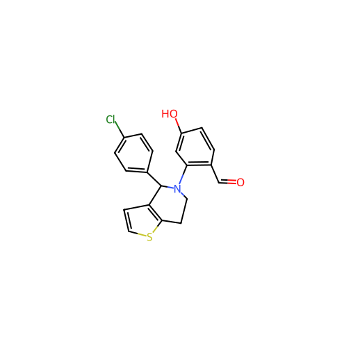 O=Cc1ccc(O)cc1N1CCc2sccc2C1c1ccc(Cl)cc1